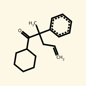 C=CCC(C)(C(=O)C1CCCCC1)c1ccccc1